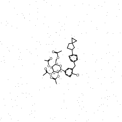 CC(=O)OC[C@H]1O[C@@H](c2ccc(Cl)c(Cc3ccc(C4CCC5(CC5)C4)cc3)c2)[C@H](OC(C)=O)[C@@H](OC(C)=O)[C@@H]1OC(C)=O